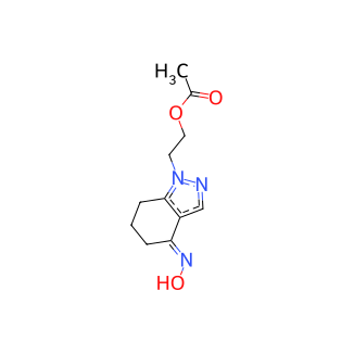 CC(=O)OCCn1ncc2c1CCCC2=NO